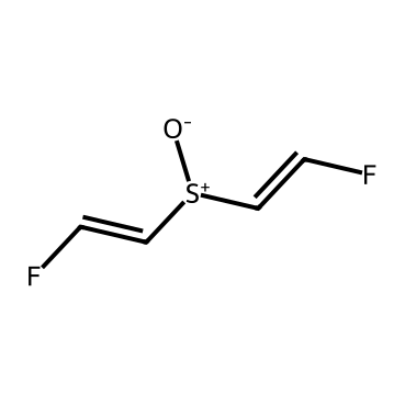 [O-][S+](C=CF)C=CF